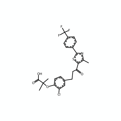 Cc1nc(-c2ccc(C(F)(F)F)cc2)sc1C(=O)CCc1ccc(OC(C)(C)C(=O)O)c(Cl)c1